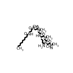 CCCCCCCCCC(=O)NCCC(=O)N(C)CC(=O)N(C)CC(=O)N[C@@H](CCCCN)C(=O)N(C)CC(=O)NC(C)C(=O)NC